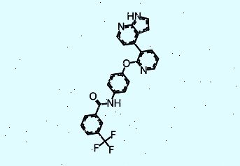 O=C(Nc1ccc(Oc2ncccc2-c2ccnc3[nH]ccc23)cc1)c1cccc(C(F)(F)F)c1